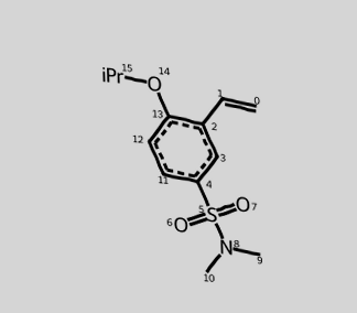 C=Cc1cc(S(=O)(=O)N(C)C)ccc1OC(C)C